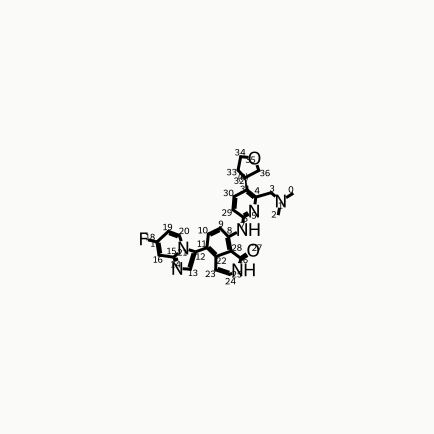 CN(C)Cc1nc(Nc2ccc(-c3cnc4cc(F)ccn34)c3cc[nH]c(=O)c23)ccc1[C@H]1CCOC1